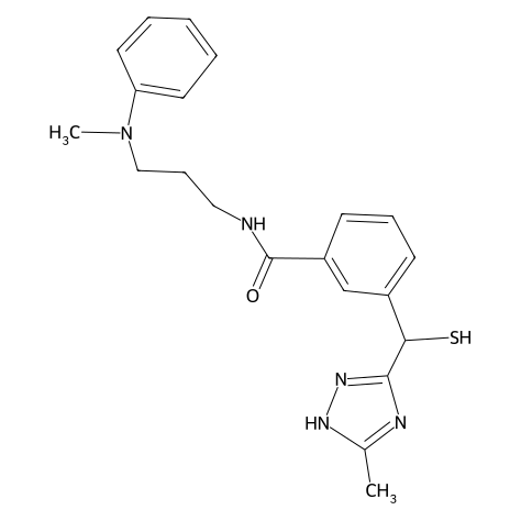 Cc1nc(C(S)c2cccc(C(=O)NCCCN(C)c3ccccc3)c2)n[nH]1